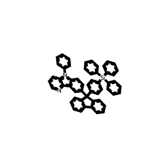 c1ccc(-n2c3ccc(C4(c5ccc([Si](c6ccccc6)(c6ccccc6)c6ccccc6)cc5)c5ccccc5-c5ccccc54)cc3c3ncccc32)cc1